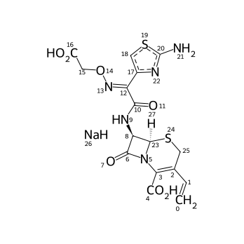 C=CC1=C(C(=O)O)N2C(=O)[C@@H](NC(=O)C(=NOCC(=O)O)c3csc(N)n3)[C@H]2SC1.[NaH]